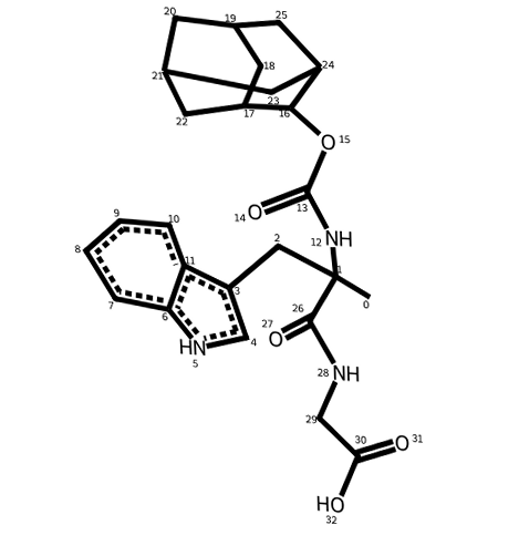 CC(Cc1c[nH]c2ccccc12)(NC(=O)OC1C2CC3CC(C2)CC1C3)C(=O)NCC(=O)O